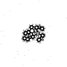 c1ccc2c(c1)CCC(c1c(-c3nc(-c4cccc5sc6ccccc6c45)nc(-c4cccc5sc6ccccc6c45)n3)ccc3c1oc1c4ccccc4ccc31)c1cc3ccccc3cc1-2